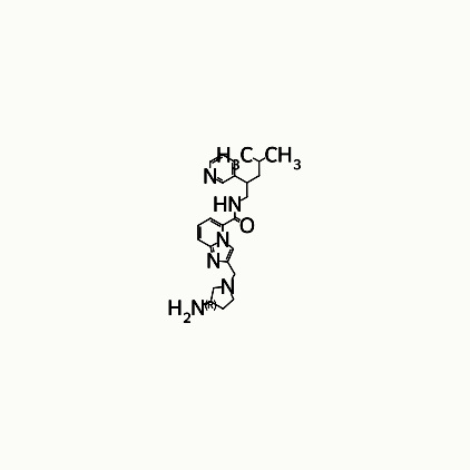 CC(C)CC(CNC(=O)c1cccc2nc(CN3CC[C@@H](N)C3)cn12)c1cccnc1